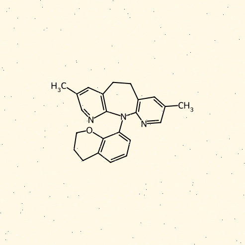 Cc1cnc2c(c1)CCc1cc(C)cnc1N2c1cccc2c1OCCC2